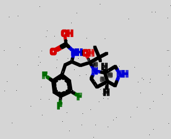 CC(C)(C)[C@](O)(CC(Cc1cc(F)c(F)cc1F)NC(=O)O)N1CC[C@H]2CNC[C@H]21